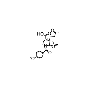 C=CCC1(CCC(C)=O)C(=O)N(C(=O)c2ccc(OC)cc2)CCN1C(=O)O